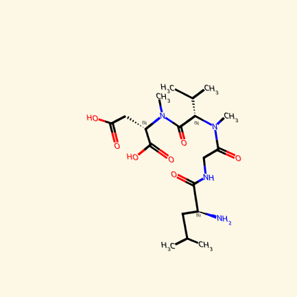 CC(C)C[C@H](N)C(=O)NCC(=O)N(C)[C@H](C(=O)N(C)[C@@H](CC(=O)O)C(=O)O)C(C)C